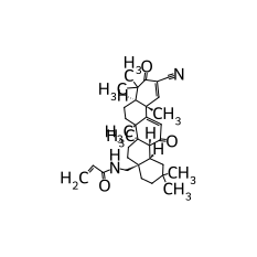 C=CC(=O)NC[C@]12CCC(C)(C)C[C@H]1[C@H]1C(=O)C=C3[C@@]4(C)C=C(C#N)C(=O)C(C)(C)[C@@H]4CC[C@@]3(C)[C@]1(C)CC2